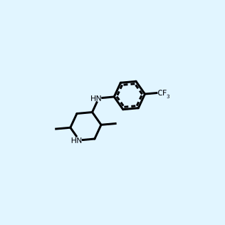 CC1CC(Nc2ccc(C(F)(F)F)cc2)C(C)CN1